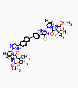 COC(=O)N[C@H](C(=O)N1[C@@H]2C[C@@H]2C[C@H]1C1=NCC(c2ccc3cc(-c4ccc(-c5[nH]c([C@@H]6C[C@H]7C[C@H]7N6C(=O)[C@@H](NC(=O)OC)C(C)C)nc5Cl)cc4)ccc3c2)N1)C(C)C